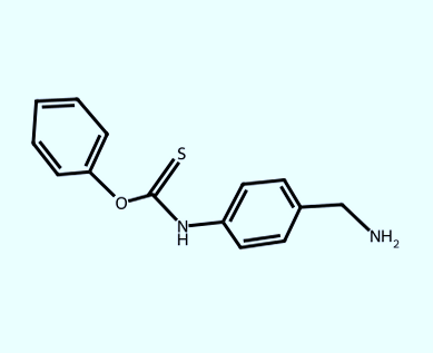 NCc1ccc(NC(=S)Oc2ccccc2)cc1